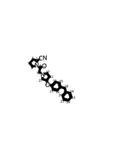 N#CC1CCCN1C(=O)CN1CCC(Oc2ccc(Cc3ccccc3)cc2)C1